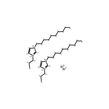 CCCCCCCCCCn1cc[n+](CCC)c1.CCCCCCCCCCn1cc[n+](CCC)c1.[Br-].[Br-]